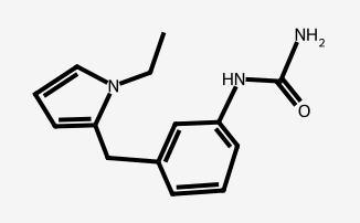 CCn1cccc1Cc1cccc(NC(N)=O)c1